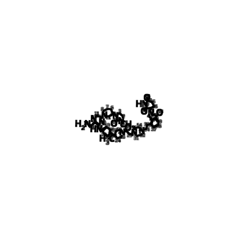 CN1CCN([C@@H]2CCCN(c3cnc(CN)c(Nc4ccc(C5(C)CCN(C(=O)CN6CCN(CCc7cccc8c7CN(C7CCC(=O)NC7=O)C8=O)CC6)CC5)cc4)n3)C2)C1=O